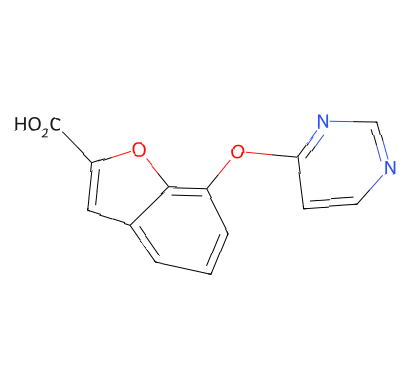 O=C(O)c1cc2cccc(Oc3ccncn3)c2o1